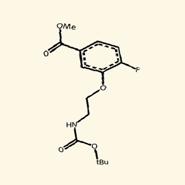 COC(=O)c1ccc(F)c(OCCNC(=O)OC(C)(C)C)c1